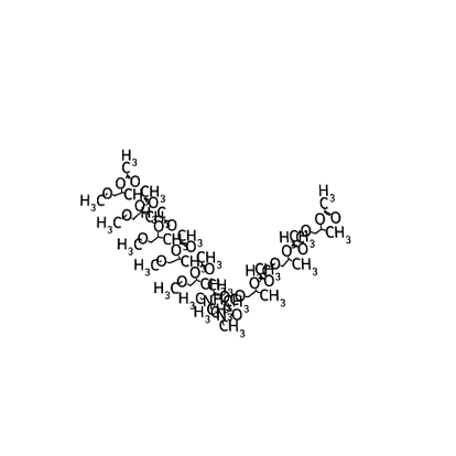 CC(=O)N(C)C.CC(=O)N(C)C.COCC(C)OC(C)=O.COCC(C)OC(C)=O.COCC(C)OC(C)=O.COCC(C)OC(C)=O.COCC(C)OC(C)=O.COCC(C)OC(C)=O.COCC(C)OC(C)=O.COCC(C)OC(C)=O